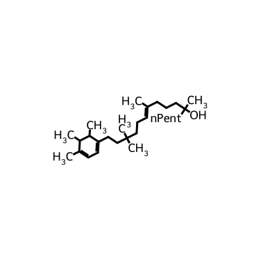 CCCCCC(C)(O)CCC/C(C)=C/CCC(C)(C)CCC1=CC=C(C)C(C)C1C